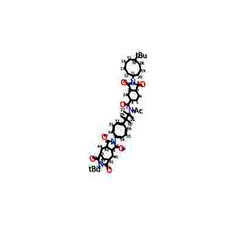 CC(=O)N(C(=O)C1CCC2C(=O)N(C3CCCCC(C(C)(C)C)CCC3)C(=O)C2C1)C(C)(C)C(C)(C)C1=C/C=C\C(N2C(=O)C3CC4CC(CC3C2=O)C(=O)N(C(C)(C)C)C4=O)=C/C=C\1